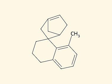 Cc1cccc2c1C1(CCC2)CC2=CCC1C2